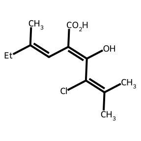 CC/C(C)=C/C(C(=O)O)=C(/O)C(Cl)=C(C)C